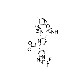 COC(=O)C(C)(C)C(c1ccc(C)c(CN2CC3(CNC3)Oc3ncc(C)cc3S2(=O)=O)n1)c1ccn2c(C(F)F)nnc2c1C